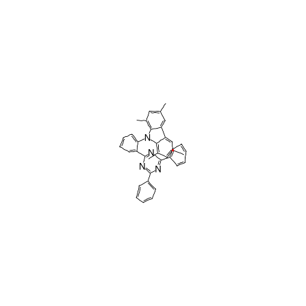 Cc1cc(C)c2c(c1)c1cc(C)cc(C)c1n2-c1ccccc1-c1nc(-c2ccccc2)nc(-c2ccccc2)n1